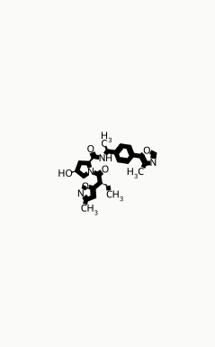 CC[C@@H](C(=O)N1C[C@H](O)C[C@H]1C(=O)N[C@@H](C)c1ccc(-c2ocnc2C)cc1)c1cc(C)no1